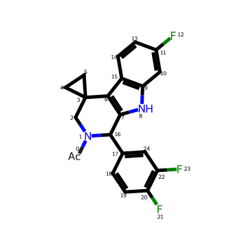 CC(=O)N1CC2(CC2)c2c([nH]c3cc(F)ccc23)C1c1ccc(F)c(F)c1